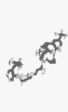 C[C@@H](COCCC(=O)N1CCN2c3ncc(C(F)(F)F)cc3C=C[C@@H]2C1)Nc1cnncc1C(F)(F)F